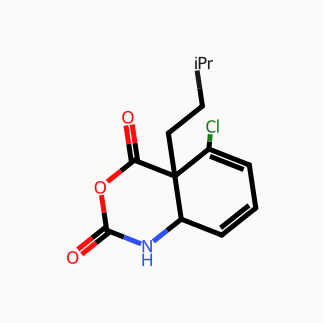 CC(C)CCC12C(=O)OC(=O)NC1C=CC=C2Cl